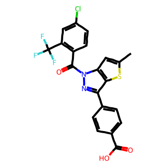 Cc1cc2c(s1)c(-c1ccc(C(=O)O)cc1)nn2C(=O)c1ccc(Cl)cc1C(F)(F)F